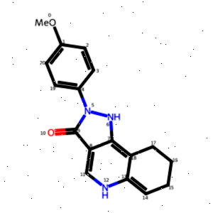 COc1ccc(-n2[nH]c3c(c2=O)=CNC2=CCCCC=32)cc1